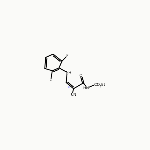 CCOC(=O)NC(=O)/C(C#N)=C\Nc1c(F)cccc1F